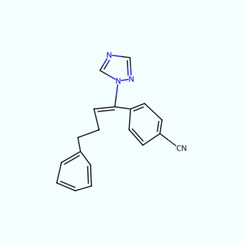 N#Cc1ccc(/C(=C\CCc2ccccc2)n2cncn2)cc1